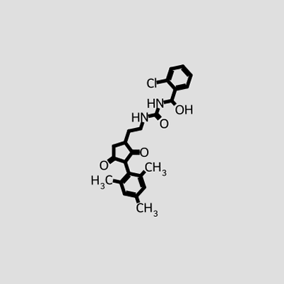 Cc1cc(C)c(C2C(=O)CC(CCNC(=O)NC(O)c3ccccc3Cl)C2=O)c(C)c1